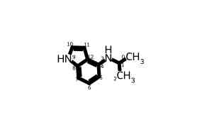 CC(C)Nc1cccc2[nH]ccc12